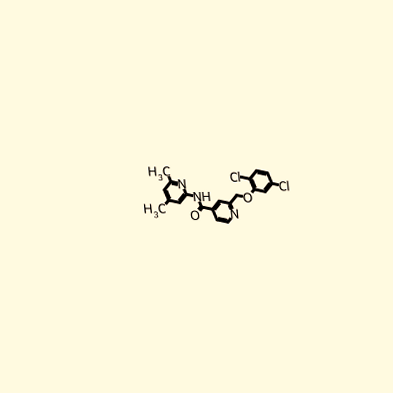 Cc1cc(C)nc(NC(=O)c2ccnc(COc3cc(Cl)ccc3Cl)c2)c1